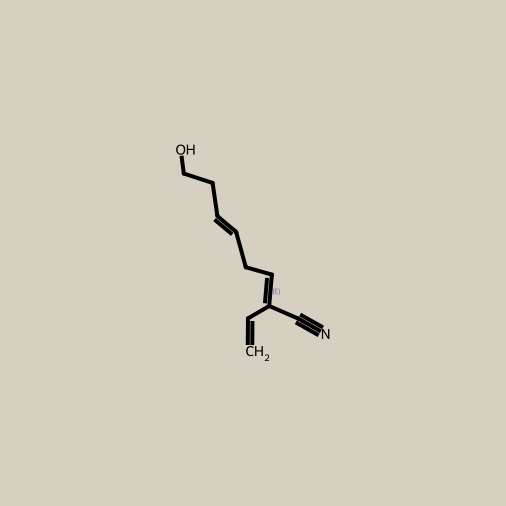 C=C/C(C#N)=C\CC=CCCO